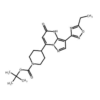 CCc1nc(-c2cnn3c(C4CCN(C(=O)OC(C)(C)C)CC4)cc(=O)[nH]c23)no1